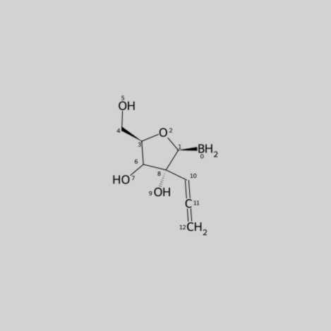 B[C@@H]1O[C@H](CO)C(O)[C@]1(O)C=C=C